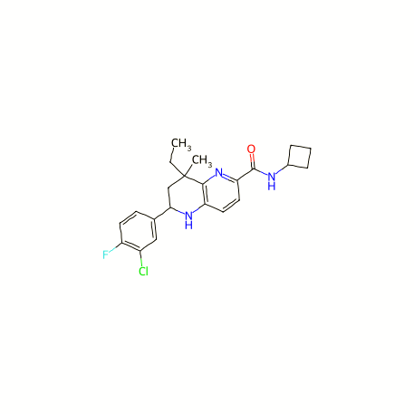 CCC1(C)CC(c2ccc(F)c(Cl)c2)Nc2ccc(C(=O)NC3CCC3)nc21